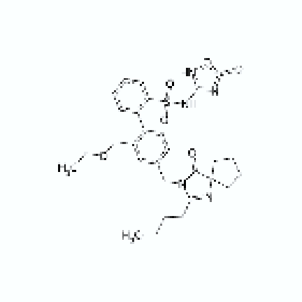 CCCCC1=NC2(CCCC2)C(=O)N1Cc1ccc(-c2ccccc2S(=O)(=O)Nc2nc(=O)o[nH]2)c(COCC)c1